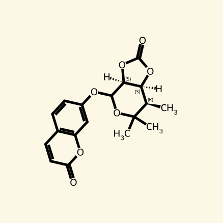 C[C@@H]1[C@@H]2OC(=O)O[C@@H]2C(Oc2ccc3ccc(=O)oc3c2)OC1(C)C